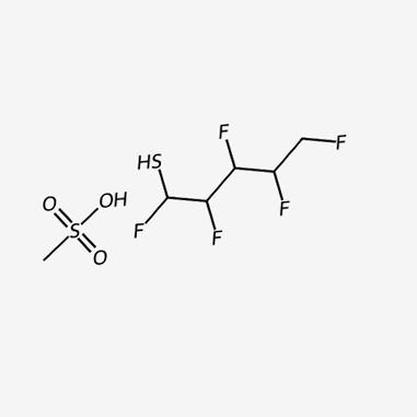 CS(=O)(=O)O.FCC(F)C(F)C(F)C(F)S